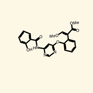 CO/C=C(/C(=O)OC)c1ccccc1Oc1cc(NC(=O)c2ccccc2O)ncn1